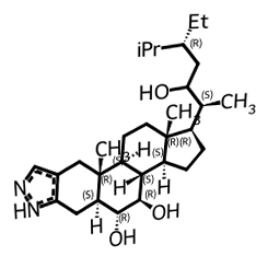 CC[C@H](CC(O)[C@@H](C)[C@H]1CC[C@H]2[C@@H]3[C@@H](O)[C@H](O)[C@H]4Cc5[nH]ncc5C[C@]4(C)[C@H]3CC[C@]12C)C(C)C